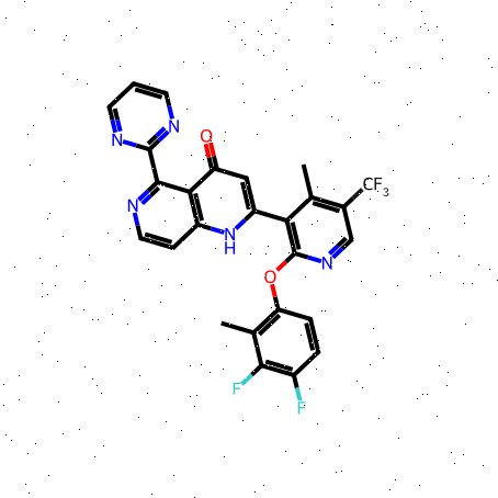 Cc1c(Oc2ncc(C(F)(F)F)c(C)c2-c2cc(=O)c3c(-c4ncccn4)nccc3[nH]2)ccc(F)c1F